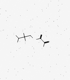 C=C(Cl)C(=O)OCC(F)(F)C(F)F